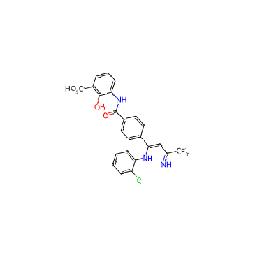 N=C(/C=C(\Nc1ccccc1Cl)c1ccc(C(=O)Nc2cccc(C(=O)O)c2O)cc1)C(F)(F)F